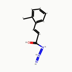 Cc1ccccc1C=CC(=O)N=[N+]=[N-]